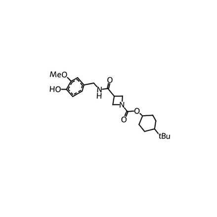 COc1cc(CNC(=O)C2CN(C(=O)OC3CCC(C(C)(C)C)CC3)C2)ccc1O